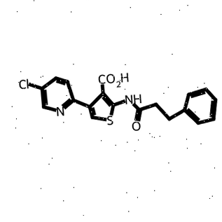 O=C(CCc1ccccc1)Nc1scc(-c2ccc(Cl)cn2)c1C(=O)O